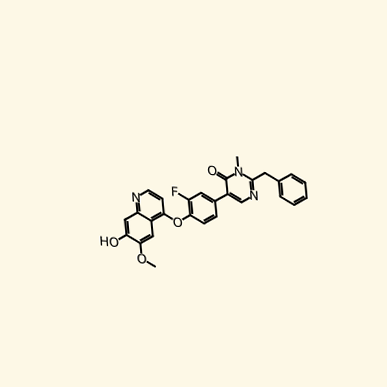 COc1cc2c(Oc3ccc(-c4cnc(Cc5ccccc5)n(C)c4=O)cc3F)ccnc2cc1O